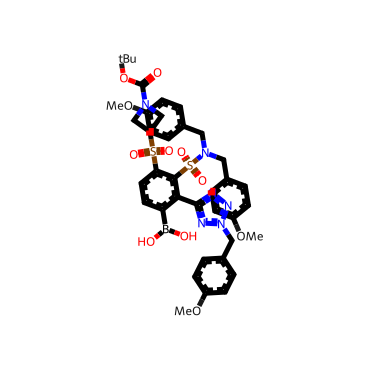 COc1ccc(CN(Cc2ccc(OC)cc2)S(=O)(=O)c2c(S(=O)(=O)C3CN(C(=O)OC(C)(C)C)C3)ccc(B(O)O)c2-c2nnn(Cc3ccc(OC)cc3)n2)cc1